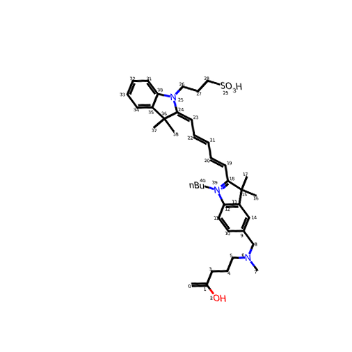 C=C(O)CCCN(C)Cc1ccc2c(c1)C(C)(C)C(/C=C/C=C/C=C1/N(CCCS(=O)(=O)O)c3ccccc3C1(C)C)=[N+]2CCCC